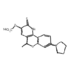 CC1Oc2cc(N3CCCC3)ccc2-c2[nH]c(=O)c(OC(=O)O)cc21